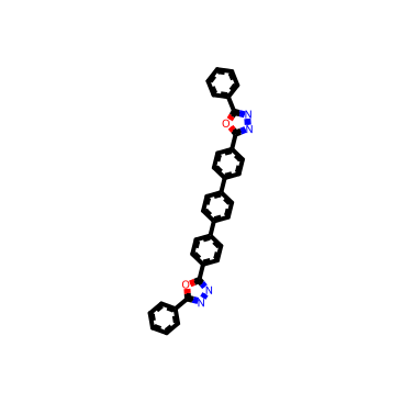 c1ccc(-c2nnc(-c3ccc(-c4ccc(-c5ccc(-c6nnc(-c7ccccc7)o6)cc5)cc4)cc3)o2)cc1